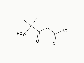 CCC(=O)CC(=O)C(C)(C)C(=O)O